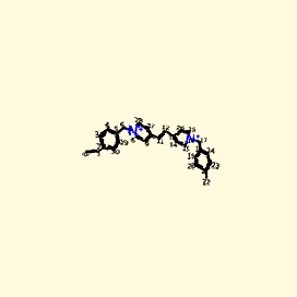 C=Cc1ccc(C[n+]2ccc(/C=C/c3cc[n+](Cc4ccc(C)cc4)cc3)cc2)cc1